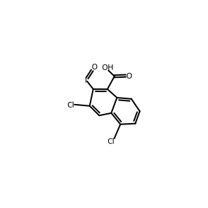 O=Ic1c(Cl)cc2c(Cl)cccc2c1C(=O)O